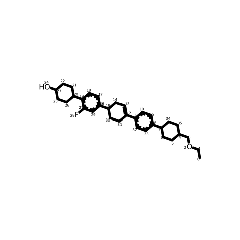 CCOCC1CCC(c2ccc(C3=CCC(c4ccc(C5CCC(O)CC5)c(F)c4)CC3)cc2)CC1